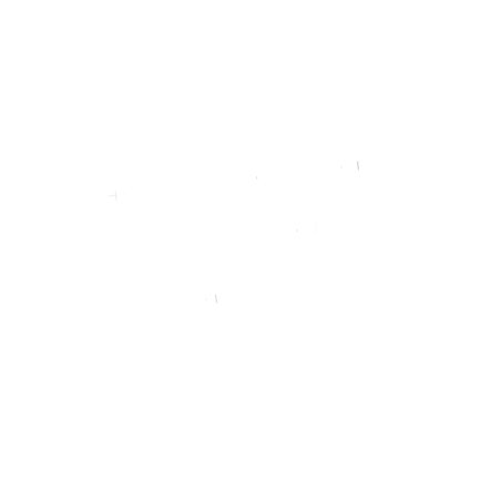 Cc1cc(C)cc(OC(O)C(=O)O)c1